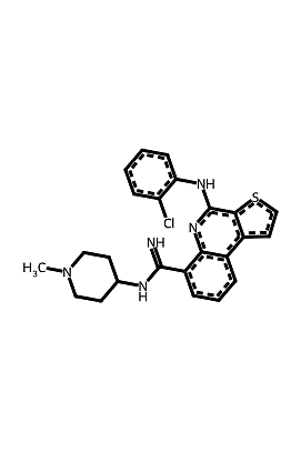 CN1CCC(NC(=N)c2cccc3c2nc(Nc2ccccc2Cl)c2sccc23)CC1